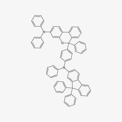 c1ccc(N(c2ccccc2)c2ccc3c(c2)OC(c2ccccc2)(c2ccc(N(c4ccccc4)c4ccc5c(c4)C(c4ccccc4)(c4ccccc4)c4ccccc4-5)cc2)c2ccccc2-3)cc1